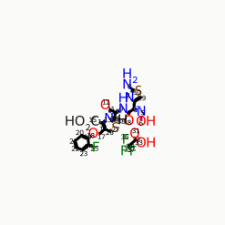 Nc1nc(/C(=N/O)C(=O)NC2C(=O)N3C(C(=O)O)=C(COc4ccccc4F)CS[C@H]23)cs1.O=C(O)C(F)(F)F